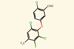 O=Cc1cc(Oc2c(Cl)cc(C(F)(F)F)c(F)c2Cl)ccc1Cl